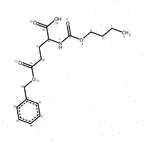 CCCCOC(=O)NC(CCC(=O)OCc1ccccc1)C(=O)O